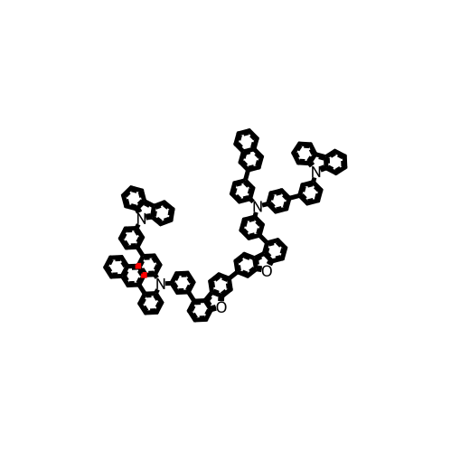 c1cc(-c2ccc3ccccc3c2)cc(N(c2ccc(-c3cccc(-n4c5ccccc5c5ccccc54)c3)cc2)c2cccc(-c3cccc4oc5cc(-c6ccc7c(c6)oc6cccc(-c8cccc(N(c9ccc(-c%10cccc(-n%11c%12ccccc%12c%12ccccc%12%11)c%10)cc9)c9ccccc9-c9ccc%10ccccc%10c9)c8)c67)ccc5c34)c2)c1